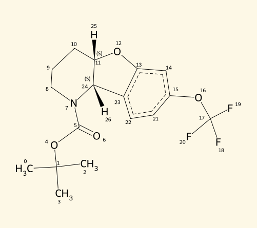 CC(C)(C)OC(=O)N1CCC[C@@H]2Oc3cc(OC(F)(F)F)ccc3[C@@H]21